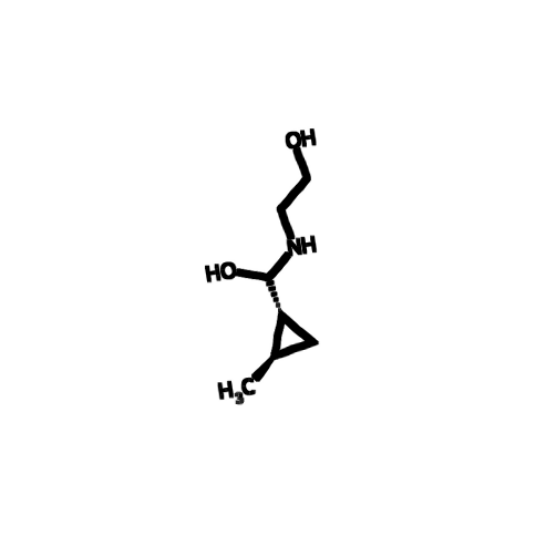 C[C@@H]1C[C@H]1C(O)NCCO